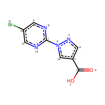 O=C(O)c1cnn(-c2ncc(Br)cn2)c1